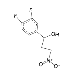 O=[N+]([O-])CCC(O)c1ccc(F)c(F)c1